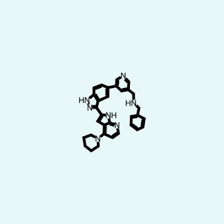 c1ccc(CNCc2cncc(-c3ccc4[nH]nc(-c5cc6c(N7CCCCC7)ccnc6[nH]5)c4c3)c2)cc1